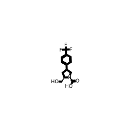 O=C(O)N1CC(c2ccc(C(F)(F)F)cc2)C[C@@H]1CO